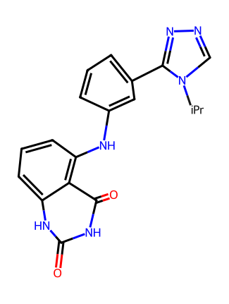 CC(C)n1cnnc1-c1cccc(Nc2cccc3[nH]c(=O)[nH]c(=O)c23)c1